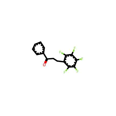 O=C(CCc1c(F)c(F)c(F)c(F)c1F)c1ccccc1